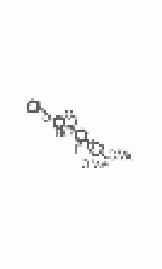 COC(OC)C1CCN(c2ccc(C3(O)CCOc4cc(OCc5ccccc5)ccc43)cc2F)CC1